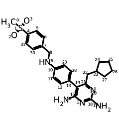 CS(=O)(=O)c1ccc(CNc2ccc(-c3c(N)nc(N)nc3CC3CCCC3)cc2)cc1